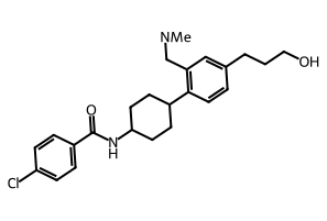 CNCc1cc(CCCO)ccc1C1CCC(NC(=O)c2ccc(Cl)cc2)CC1